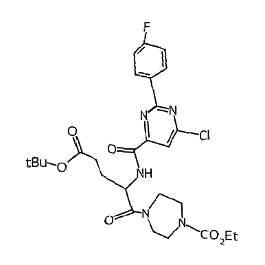 CCOC(=O)N1CCN(C(=O)C(CCC(=O)OC(C)(C)C)NC(=O)c2cc(Cl)nc(-c3ccc(F)cc3)n2)CC1